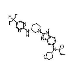 C=CC(=O)N(c1ccc2c(c1)nc(N1CCC[C@@H](Nc3ncc(C(F)(F)F)cn3)C1)n2C)C1CCOC1